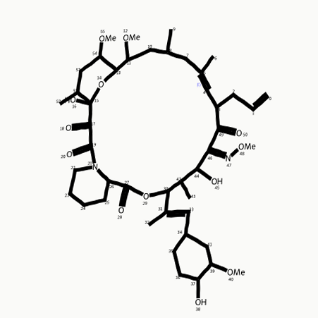 C=CCC1/C=C(\C)CC(C)CC(OC)C2OC(O)(C(=O)C(=O)N3CCCCC3C(=O)OC(C(C)=CC3CCC(O)C(OC)C3)C(C)C(O)C(=NOC)C1=O)C(C)CC2OC